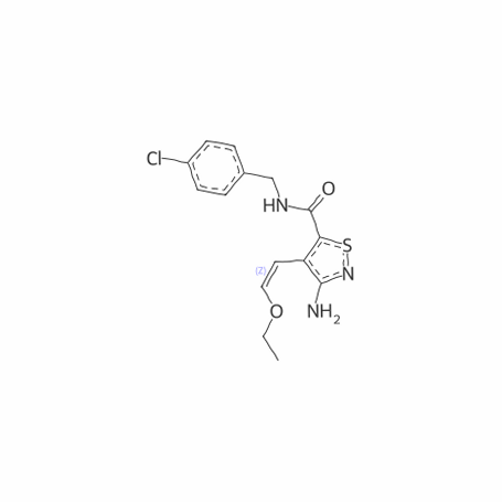 CCO/C=C\c1c(N)nsc1C(=O)NCc1ccc(Cl)cc1